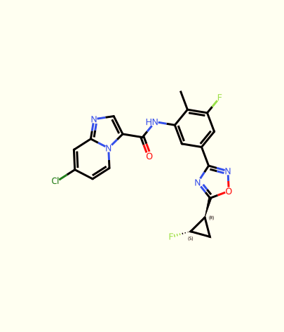 Cc1c(F)cc(-c2noc([C@H]3C[C@@H]3F)n2)cc1NC(=O)c1cnc2cc(Cl)ccn12